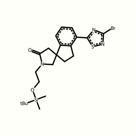 CC(C)(C)[Si](C)(C)OCCN1CC2(CCc3c(-c4nc(Br)ns4)cccc32)CC1=O